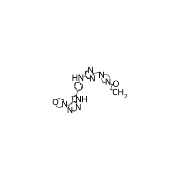 C=CC(=O)N1CCN(Cc2ncc(Nc3ccc(-c4cc5c(N6CCOCC6)ncnc5[nH]4)cc3)cn2)CC1